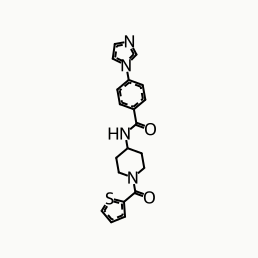 O=C(NC1CCN(C(=O)c2cccs2)CC1)c1ccc(-n2ccnc2)cc1